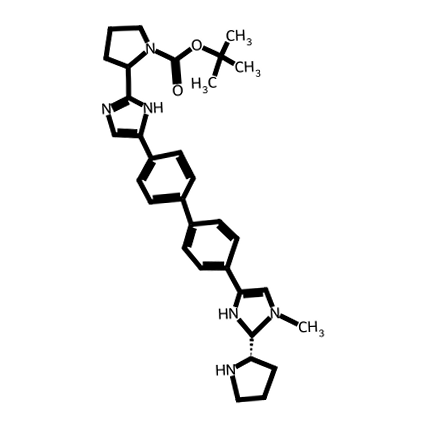 CN1C=C(c2ccc(-c3ccc(-c4cnc(C5CCCN5C(=O)OC(C)(C)C)[nH]4)cc3)cc2)NC1[C@@H]1CCCN1